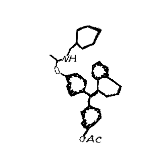 CC(=O)Oc1ccc(C(=C2CCCc3ccccc32)c2ccc(OC(C)NCC3CCCCC3)cc2)cc1